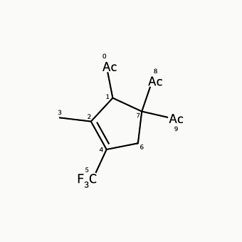 CC(=O)C1C(C)=C(C(F)(F)F)CC1(C(C)=O)C(C)=O